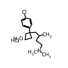 CC(CCN(C)C)CC1(c2ccc(Cl)cc2)CCC1.Cl.O